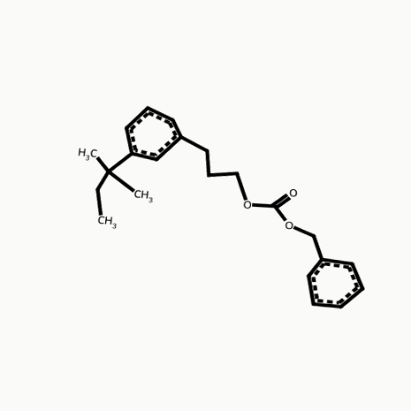 CCC(C)(C)c1cccc(CCCOC(=O)OCc2ccccc2)c1